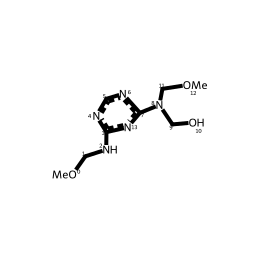 COCNc1ncnc(N(CO)COC)n1